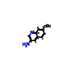 CCCCc1ccc2cc(N)cnc2c1